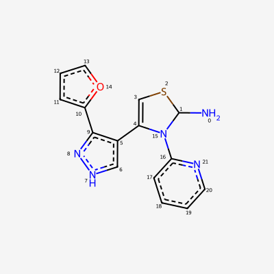 NC1SC=C(c2c[nH]nc2-c2ccco2)N1c1ccccn1